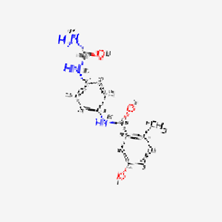 Cc1ccc(O)cc1C(=O)Nc1ccc(NC(N)=O)cc1